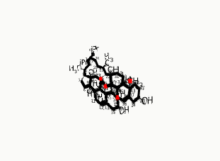 CC(C)CCC[C@@H](C)[C@H]1CC[C@H]2[C@@H]3CC=C4C[C@@H](O)CC([C@@]56CC[C@H]([C@H](C)CCCC(C)C)[C@@]5(C)CC[C@H]5[C@H]6CC=C6C[C@@H](O)CC[C@@]65C)[C@]4(C)[C@H]3CC[C@]12C